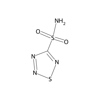 NS(=O)(=O)c1nnsn1